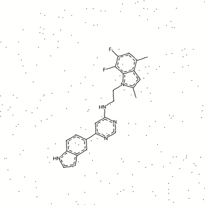 Cc1cc(F)c(F)c2c1cc(C)n2CCNc1cc(-c2ccc3[nH]ccc3c2)ncn1